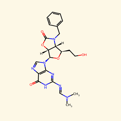 CN(C)/C=N/c1nc2c(ncn2[C@@H]2O[C@H](CCO)[C@@H]3[C@H]2OC(=O)N3Cc2ccccc2)c(=O)[nH]1